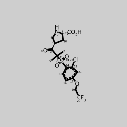 CC(C)(C(=O)[C@H]1CN[C@H](C(=O)O)C1)S(=O)(=O)c1ccc(OCC(F)(F)F)cc1Cl